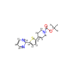 CC(C)(C)OC(=O)N1CC=C(c2ccc(-c3ncccn3)s2)CC1